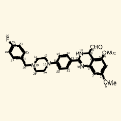 COc1cc2c(c(OC)c1)C(C=O)NC(c1ccc(N3CCN(Cc4ccc(F)cc4)CC3)cc1)=N2